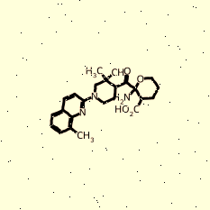 Cc1cccc2ccc(N3CCC(C(=O)C4(N)OCCCC4C(=O)O)C(C)(C)C3)nc12